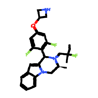 C[C@@H]1Cn2c(cc3ccccc32)C(c2c(F)cc(OC3CNC3)cc2F)N1CC(C)(C)F